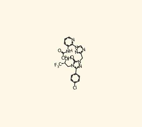 O=C(Nc1cccnc1-n1cnc(Cn2nc(-c3ccc(Cl)cc3)n(C[C@H](O)C(F)(F)F)c2=O)n1)C(F)(F)F